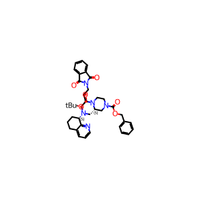 CC(C)(C)OC(=O)N1CCN(C(=O)OCc2ccccc2)C[C@@H]1CN(CCCCN1C(=O)c2ccccc2C1=O)[C@H]1CCCc2cccnc21